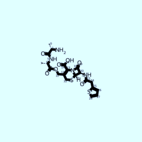 C[C@H](N)C(=O)N[C@@H](C)C(=O)OCC1=C(C(=O)O)N2C(=O)[C@@H](NC(=O)Cc3cccs3)[C@H]2SC1